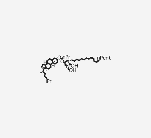 CCCCC/C=C\C/C=C\CCCCCCCCOCC(CN(CO)CO)OC(CCC)O[C@H]1CC[C@@]2(C)C(=CC[C@H]3[C@@H]4CC[C@H]([C@H](C)CCCC(C)C)[C@@]4(C)CC[C@@H]32)C1